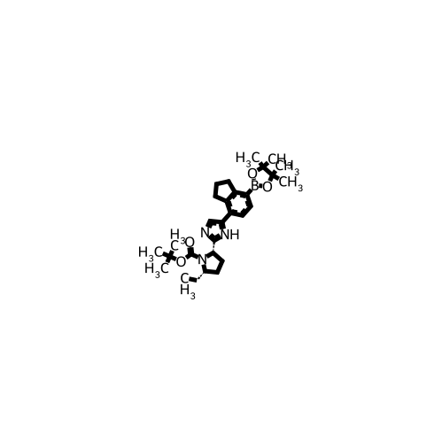 CC[C@H]1CC[C@@H](c2ncc(-c3ccc(B4OC(C)(C)C(C)(C)O4)c4c3CCC4)[nH]2)N1C(=O)OC(C)(C)C